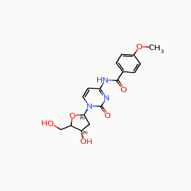 COc1ccc(C(=O)Nc2ccn([C@H]3C[C@@H](O)C(CO)O3)c(=O)n2)cc1